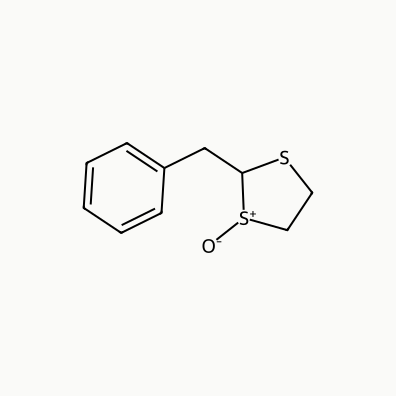 [O-][S+]1CCSC1Cc1ccccc1